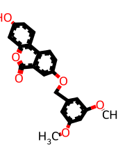 COc1cc(COc2ccc3c(c2)c(=O)oc2cc(O)ccc23)cc(OC)c1